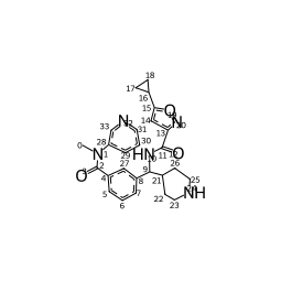 CN(C(=O)c1cccc(C(NC(=O)c2cc(C3CC3)on2)C2CCNCC2)c1)c1cccnc1